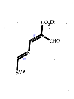 CCOC(=O)/C(C=O)=C/N=C/SC